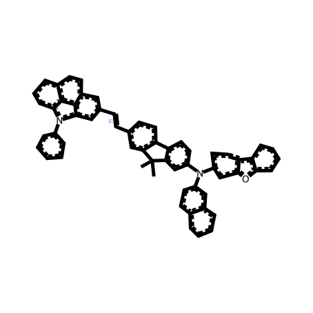 CC1(C)c2cc(/C=C/c3cc4ccc5cccc6c5c4c(c3)n6-c3ccccc3)ccc2-c2ccc(N(c3ccc4ccccc4c3)c3ccc4c(c3)oc3ccccc34)cc21